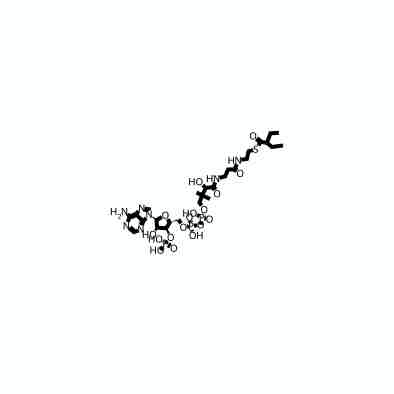 CCC(CC)C(=O)SCCNC(=O)CCNC(=O)C(O)C(C)(C)COP(=O)(O)OP(=O)(O)OC[C@H]1O[C@@H](n2cnc3c(N)ncnc32)[C@H](O)[C@@H]1OP(=O)(O)O